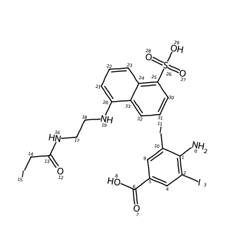 Nc1c(I)cc(C(=O)O)cc1I.O=C(CI)NCCNc1cccc2c(S(=O)(=O)O)cccc12